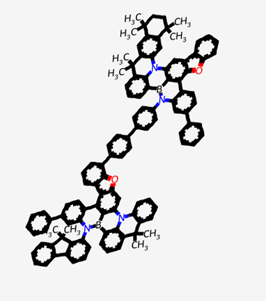 CC1(C)CCC(C)(C)c2cc3c(cc21)N1c2cc4c(oc5ccccc54)c4c2B(c2cccc(c21)C3(C)C)N(c1ccc(-c2ccc(-c3cccc5c3oc3cc6c7c(c35)-c3ccc(-c5ccccc5)cc3N(c3cccc5c3C(C)(C)c3ccccc3-5)B7c3cccc5c3N6c3ccccc3C5(C)C)cc2)cc1)c1cc(-c2ccccc2)ccc1-4